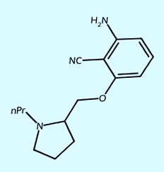 CCCN1CCCC1COc1cccc(N)c1C#N